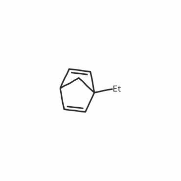 CCC12C=CC(C=C1)C2